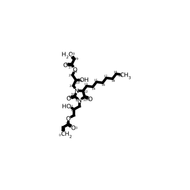 C=CC(=O)OCC(O)CN1C(=O)C(CCCCCCCC)N(CC(O)COC(=O)C=C)C1=O